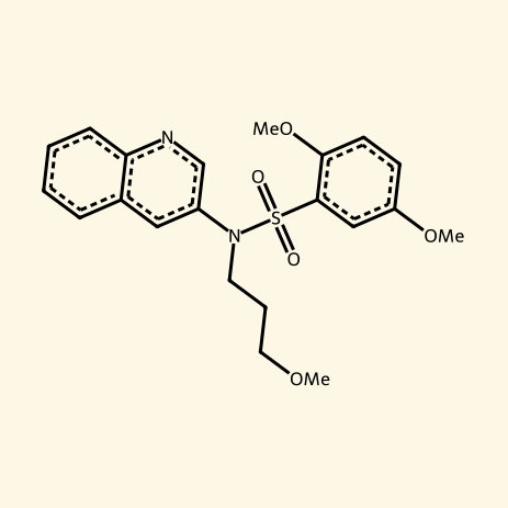 COCCCN(c1cnc2ccccc2c1)S(=O)(=O)c1cc(OC)ccc1OC